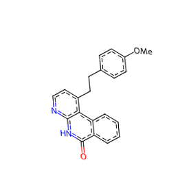 COc1ccc(CCc2ccnc3[nH]c(=O)c4ccccc4c23)cc1